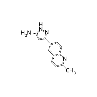 Cc1ccc2cc(-c3cc(N)[nH]n3)ccc2n1